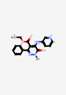 CCn1nc(-c2ccccc2)c(C(=O)OCOC(C)=O)c(Nc2cccnc2)c1=O